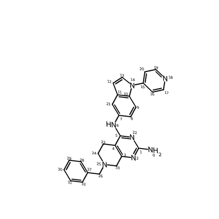 Nc1nc2c(c(Nc3ccc4c(ccn4-c4ccncc4)c3)n1)CCN(Cc1ccccc1)C2